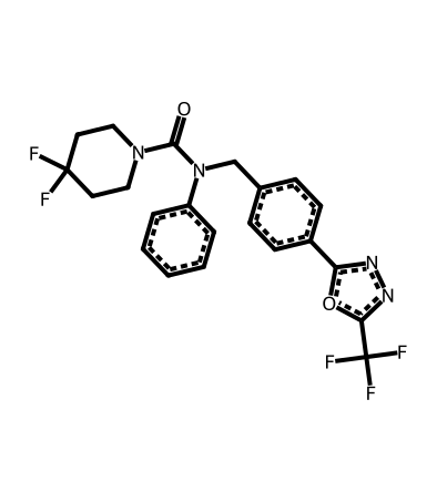 O=C(N1CCC(F)(F)CC1)N(Cc1ccc(-c2nnc(C(F)(F)F)o2)cc1)c1ccccc1